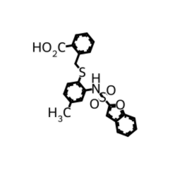 Cc1ccc(SCc2ccccc2C(=O)O)c(NS(=O)(=O)c2cc3ccccc3o2)c1